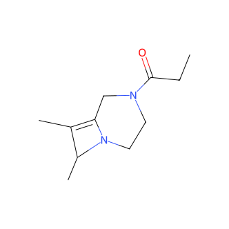 CCC(=O)N1CCN2C(=C(C)C2C)C1